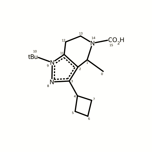 CC1c2c(C3CCC3)nn(C(C)(C)C)c2CCN1C(=O)O